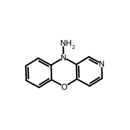 NN1c2ccccc2Oc2ccncc21